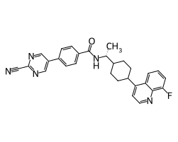 C[C@@H](NC(=O)c1ccc(-c2cnc(C#N)nc2)cc1)C1CCC(c2ccnc3c(F)cccc23)CC1